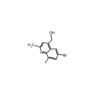 Cc1cc(CO)c2cc(Br)cc(F)c2n1